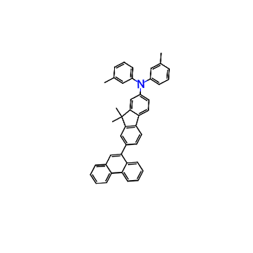 Cc1cccc(N(c2cccc(C)c2)c2ccc3c(c2)C(C)(C)c2cc(-c4cc5ccccc5c5ccccc45)ccc2-3)c1